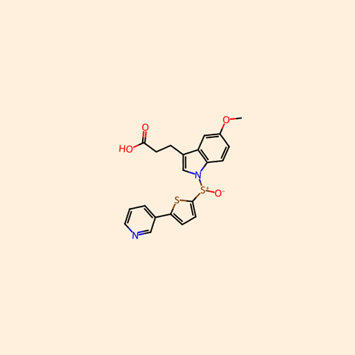 COc1ccc2c(c1)c(CCC(=O)O)cn2[S+]([O-])c1ccc(-c2cccnc2)s1